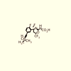 C[Si](C)(C)C#Cc1ccc(F)c([C@]2(CF)C[C@@H](C(F)(F)F)OC(NC(=O)O)=N2)c1